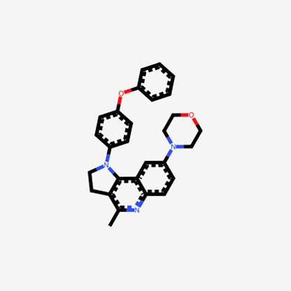 Cc1nc2ccc(N3CCOCC3)cc2c2c1CCN2c1ccc(Oc2ccccc2)cc1